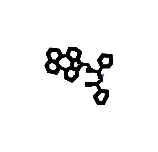 N=C(/N=C(\NCn1c2cccc3c2c2c(cccc21)-c1cccc2cccc-3c12)c1ccccc1)c1ccccc1